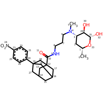 C[C@@H]1C[C@H](N(C)CCCNC(=O)C23CC4CC(C2)CC(c2ccc([N+](=O)[O-])cc2)(C4)C3)[C@@H](O)[C@H](O)O1